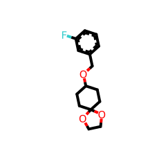 Fc1cccc(COC2CCC3(CC2)OCCO3)c1